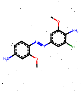 COc1cc(N)ccc1N=Nc1cc(Cl)c(N)c(OC)c1